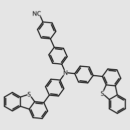 N#Cc1ccc(-c2ccc(N(c3ccc(-c4cccc5c4sc4ccccc45)cc3)c3ccc(-c4cccc5c4sc4ccccc45)cc3)cc2)cc1